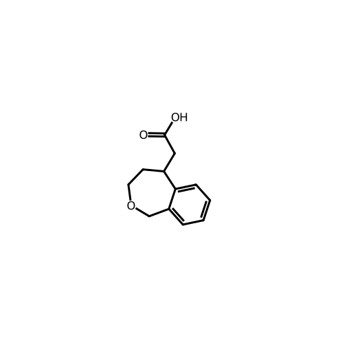 O=C(O)CC1CCOCc2ccccc21